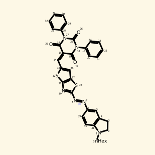 CCCCCCN1CCc2cc(/N=N/c3nc4sc(C=C5C(=O)N(c6ccccc6)C(=O)N(c6ccccc6)C5=O)cc4s3)ccc21